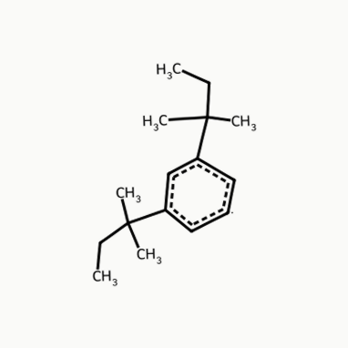 CCC(C)(C)c1c[c]cc(C(C)(C)CC)c1